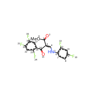 COC(=O)C(=CNc1ccc(F)cc1F)C(=O)c1cc(F)c(F)cc1F